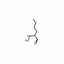 CCCCC([C]=O)NO